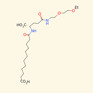 CCOCCOCCNC(=O)CC[C@H](NC(=O)CCCCCCCCCCC(=O)O)C(=O)O